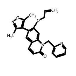 C=CCOc1cc2c(ccc(=O)n2Cc2ccccn2)cc1-c1c(C)noc1C